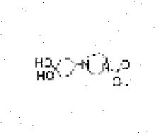 COC(=O)N1CCCN(C2CCC(O)(O)CC2)CC1